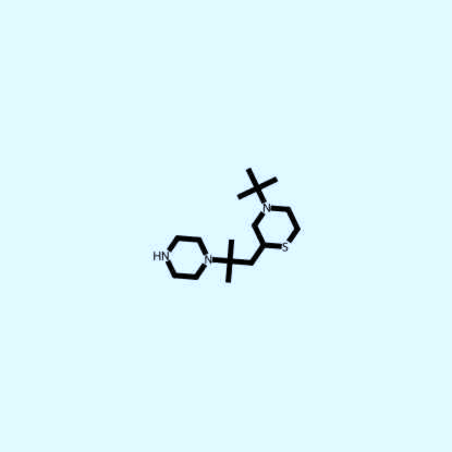 CC(C)(C)N1CCSC(CC(C)(C)N2CCNCC2)C1